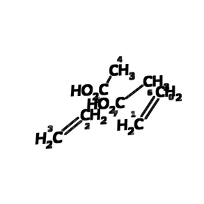 C=C.C=C.CC(=O)O.CC(=O)O